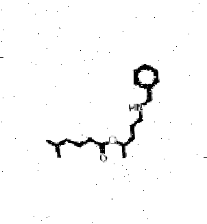 CC(C)CCCC(=O)OC(C)CCCNCc1ccccc1